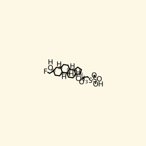 C[C@]12CC[C@H]3[C@@H](CC[C@@H]4C[C@@](O)(CF)CC[C@@H]43)[C@@H]1CC[C@@H]2C(=O)CSS(=O)(=O)O